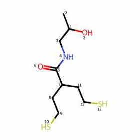 CC(O)CNC(=O)C(CCS)CCS